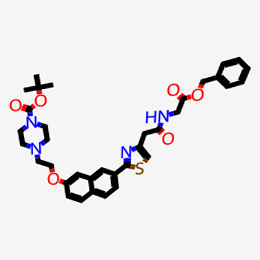 CC(C)(C)OC(=O)N1CCN(CCOc2ccc3ccc(-c4nc(CC(=O)NCC(=O)OCc5ccccc5)cs4)cc3c2)CC1